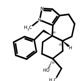 CC[C@@]1(O)CC[C@]2(Cc3ccccc3)c3c(cnn3C)CCC[C@@H]2C1